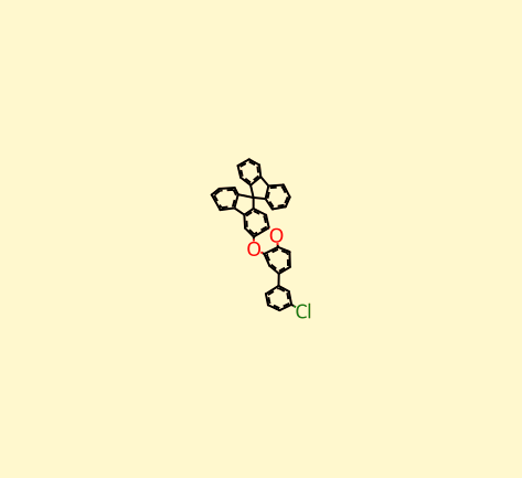 Clc1cccc(-c2ccc3c(c2)Oc2cc4c(cc2O3)C2(c3ccccc3-c3ccccc32)c2ccccc2-4)c1